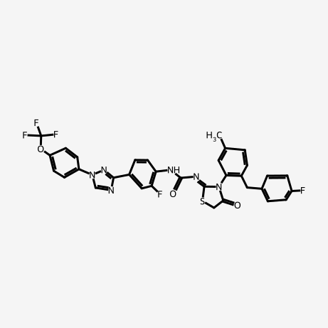 Cc1ccc(Cc2ccc(F)cc2)c(N2C(=O)CSC2=NC(=O)Nc2ccc(-c3ncn(-c4ccc(OC(F)(F)F)cc4)n3)cc2F)c1